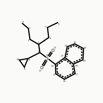 CCCC(CCC)C(C1CC1)S(=O)(=O)c1cccc2ccccc12